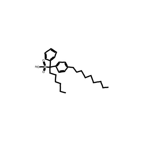 CCCCCCCCCc1ccc(C(CCCCCC)(c2ccccc2)S(=O)(=O)O)cc1